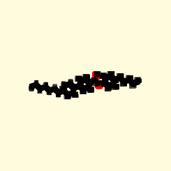 CCCCCCCC1CC=C(c2ccc(C(=O)Oc3ccc(CCCCC)cc3)cc2)CC1